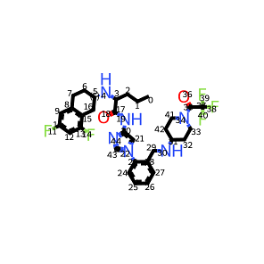 CCCC(N[C@H]1CCc2cc(F)cc(F)c2C1)C(=O)Nc1cn(-c2ccccc2CNC2CCN(C(=O)C(F)(F)F)CC2)cn1